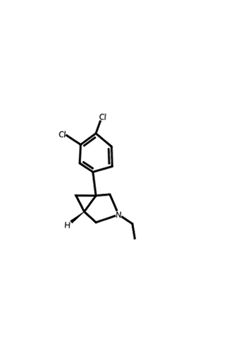 CCN1C[C@@H]2CC2(c2ccc(Cl)c(Cl)c2)C1